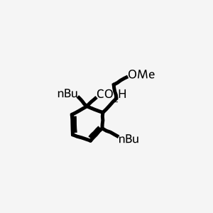 CCCCC1=CC=CC(CCCC)(C(=O)O)C1CCOC